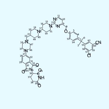 CC(C)(c1ccc(OCc2ccnc(N3CCC(N4CCC(CN5CCN(c6ccc7c(c6)C(=O)N(C6CCC(=O)NC6=O)C7=O)CC5)CC4)CC3)n2)cc1)c1cc(Cl)cc(C#N)c1